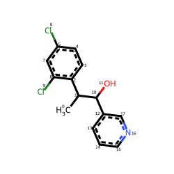 CC(c1ccc(Cl)cc1Cl)C(O)c1cccnc1